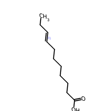 CC/C=C/CCCCCCC(=O)O